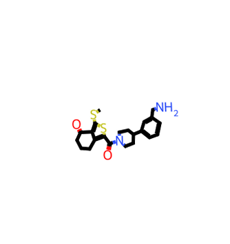 CSc1sc(C(=O)N2CCC(c3cccc(CN)c3)CC2)c2c1C(=O)CCC2